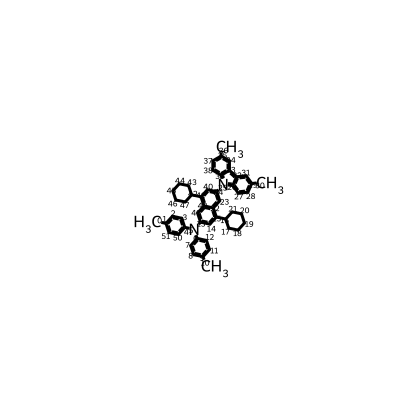 Cc1ccc(N(c2ccc(C)cc2)c2cc(C3CCCCC3)c3cc(-n4c5ccc(C)cc5c5cc(C)ccc54)cc(C4CCCCC4)c3c2)cc1